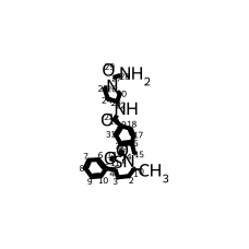 C[C@H]1CCC(c2ccccc2)S(=O)(=O)N1Cc1ccc(C(=O)N[C@@H]2CCN(C(N)=O)C2)cc1